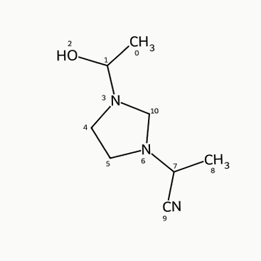 CC(O)N1CCN(C(C)C#N)C1